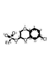 CCS(=O)(=O)OC1COc2ccc(Cl)cc2O1